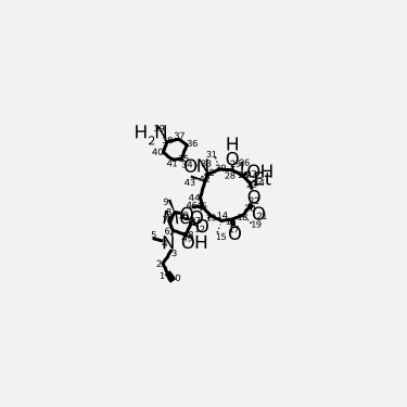 C#CCCN(C)[C@H]1C[C@@H](C)O[C@@H](O[C@@H]2[C@@H](C)C(=O)[C@@H](C)C(=O)O[C@H](CC)[C@@](C)(O)[C@H](O)[C@@H](C)/C(=N/O[C@H]3CC[C@@H](N)CC3)[C@H](C)C[C@@]2(C)OC)[C@@H]1O